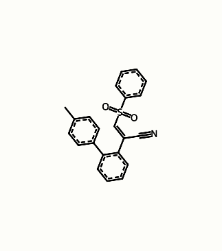 Cc1ccc(-c2ccccc2C(C#N)=CS(=O)(=O)c2ccccc2)cc1